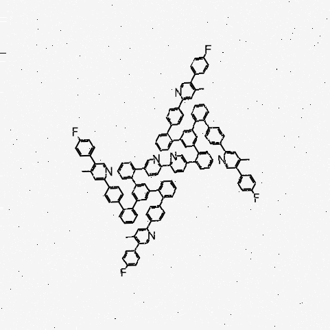 Cc1cc(-c2ccc(-c3ccccc3-c3cc(-c4ccccc4-c4ccc(-c5cc(C)c(-c6ccc(F)cc6)cn5)cc4)cc(-c4ccccc4-c4ccc(-c5ccc(-c6ccccc6-c6cc(-c7ccccc7-c7ccc(-c8cc(C)c(-c9ccc(F)cc9)cn8)cc7)cc(-c7ccccc7-c7ccc(-c8cc(C)c(-c9ccc(F)cc9)cn8)cc7)c6)cn5)nc4)c3)cc2)ncc1-c1ccc(F)cc1